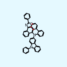 c1ccc(-c2nc3c(cc(N(c4ccc5c(c4)c4ccccc4n5-c4ccccc4)c4ccccc4-c4ccccc4)c4ccccc43)o2)cc1